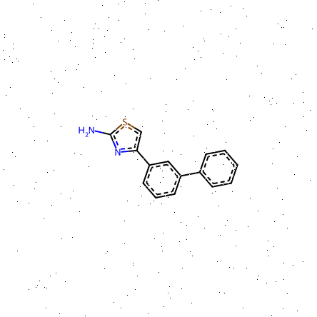 Nc1nc(-c2cccc(-c3ccccc3)c2)cs1